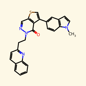 Cn1ccc2cc(-c3csc4cnn(CCc5ccc6ccccc6n5)c(=O)c34)ccc21